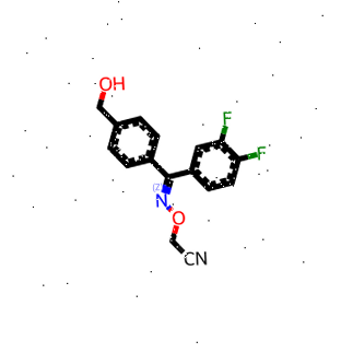 N#CCO/N=C(/c1ccc(CO)cc1)c1ccc(F)c(F)c1